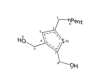 CCCCCCc1cc(CO)c(CO)s1